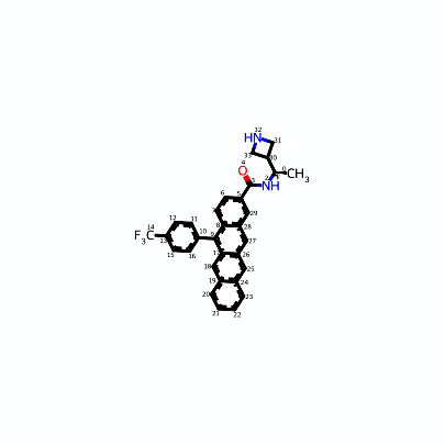 C[C@@H](NC(=O)c1ccc2c(-c3ccc(C(F)(F)F)cc3)c3cc4ccccc4cc3cc2c1)C1CNC1